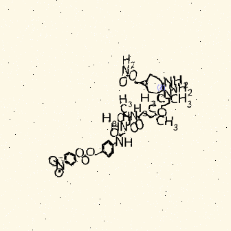 CC(C)C(NC(=O)CCC(C)(C)OCCC(C)(C)N(N)/C1=C(\N)CCC2C(CC1)C2COC(N)=O)C(=O)NCC(=O)Nc1ccc(COC(=O)Oc2ccc([N+](=O)[O-])cc2)cc1